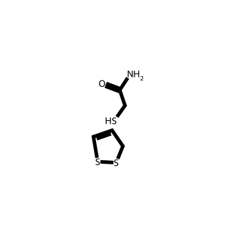 C1=CSSC1.NC(=O)CS